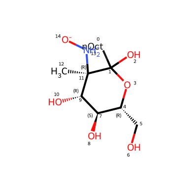 CCCCCCCCC1(O)O[C@H](CO)[C@@H](O)[C@H](O)[C@@]1(C)[NH2+][O-]